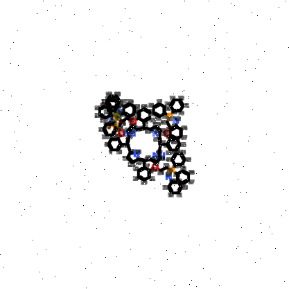 PN=P(CCOc1ccccc1-c1c2nc(c(-c3ccccc3OCCP(=Nc3ccccc3)(c3ccccc3)c3ccccc3)c3ccc([nH]3)c(-c3ccccc3OCCP(=Nc3ccccc3)(c3ccccc3)c3ccccc3)c3nc(c(-c4ccccc4OCCP(=Nc4ccccc4)(c4ccccc4)c4ccccc4)c4ccc1[nH]4)C=C3)C=C2)(c1ccccc1)c1ccccc1